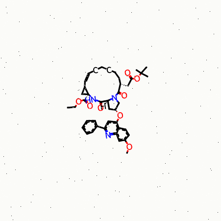 CCOC(=O)[C@]12CC1/C=C\CCCCC[C@H](CC(=O)OC(C)(C)C)C(=O)N1C[C@H](Oc3cc(-c4ccccc4)nc4cc(OC)ccc34)C[C@H]1C(=O)N2